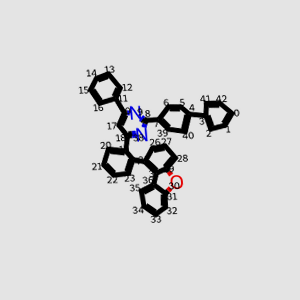 c1ccc(-c2ccc(-c3nc(-c4ccccc4)cc(-c4ccccc4-c4cccc5oc6ccccc6c45)n3)cc2)cc1